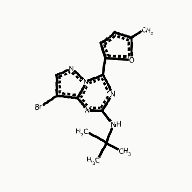 Cc1ccc(-c2nc(NC(C)(C)C)nc3c(Br)cnn23)o1